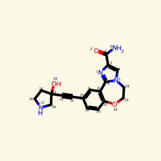 NC(=O)c1cn2c(n1)-c1cc(C#CC3(O)CCNC3)ccc1OCC2